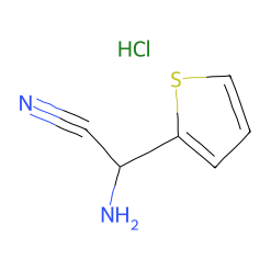 Cl.N#CC(N)c1cccs1